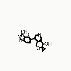 Cn1nnc2ccc(-c3cncc4c3COC3(CC3)C4O)cc21